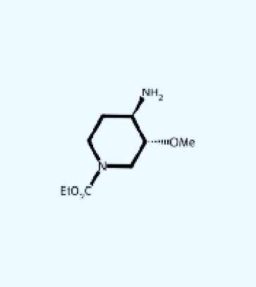 CCOC(=O)N1CC[C@@H](N)[C@H](OC)C1